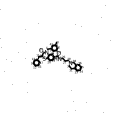 Cc1cccc(CN2C(=O)/C(=C/c3ccccc3)Sc3ccc(C(=O)NCCCN4CCc5ccccc5C4)cc32)c1